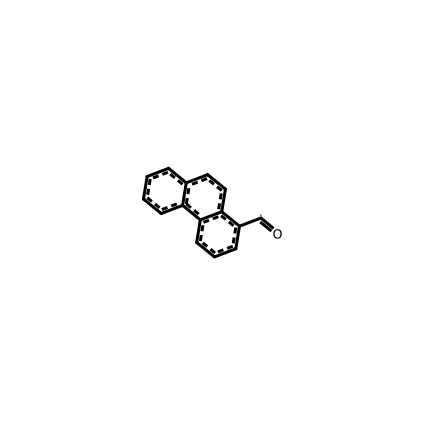 O=[C]c1cccc2c1ccc1ccccc12